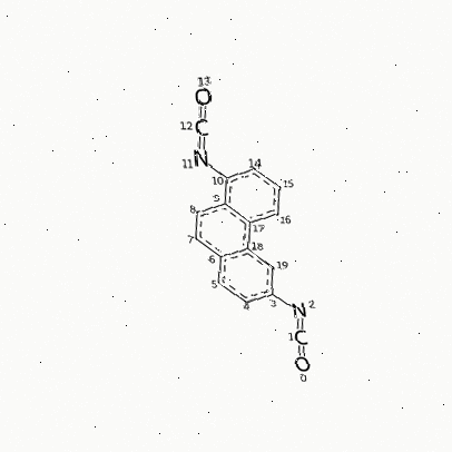 O=C=Nc1ccc2ccc3c(N=C=O)cccc3c2c1